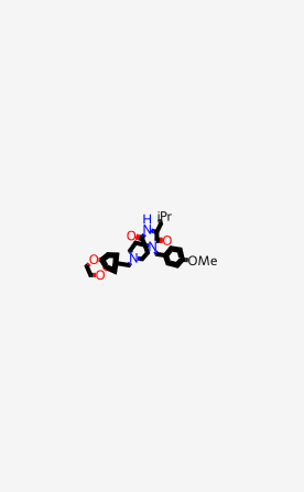 COc1ccc(CN2C(=O)C(CC(C)C)NC(=O)C23CCN(Cc2ccc4c(c2)OCCO4)CC3)cc1